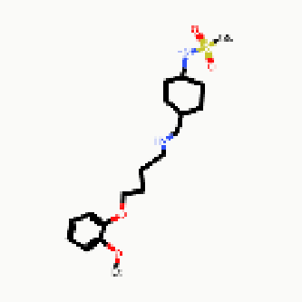 CCOc1ccccc1OCCCCNCC1CCC(NS(=O)(=O)C(C)(C)C)CC1